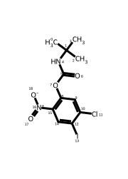 CC(C)(C)NC(=O)Oc1cc(Cl)c(I)cc1[N+](=O)[O-]